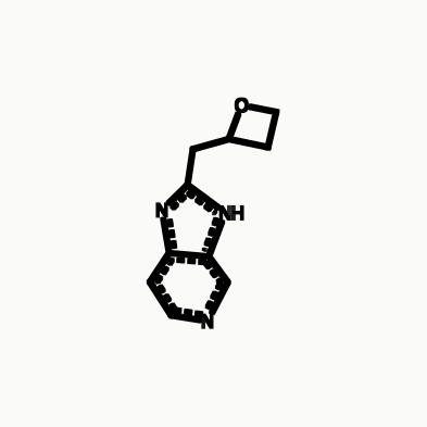 c1cc2nc(CC3CCO3)[nH]c2cn1